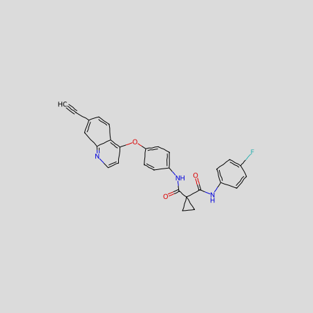 C#Cc1ccc2c(Oc3ccc(NC(=O)C4(C(=O)Nc5ccc(F)cc5)CC4)cc3)ccnc2c1